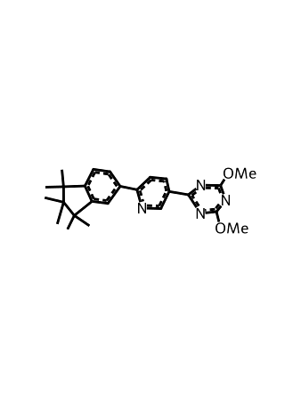 COc1nc(OC)nc(-c2ccc(-c3ccc4c(c3)C(C)(C)C(C)(C)C4(C)C)nc2)n1